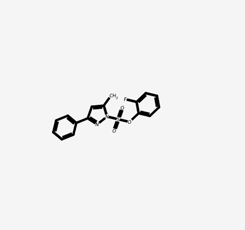 Cc1cc(-c2ccccc2)nn1S(=O)(=O)Oc1ccccc1F